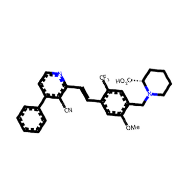 COc1cc(/C=C/c2nccc(-c3ccccc3)c2C#N)c(C(F)(F)F)cc1CN1CCCC[C@H]1C(=O)O